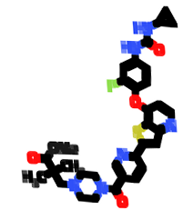 COC(=O)C(C)(C)CN1CCN(C(=O)c2ccc(-c3cc4nccc(Oc5ccc(NC(=O)NC6CC6)cc5F)c4s3)nc2)CC1